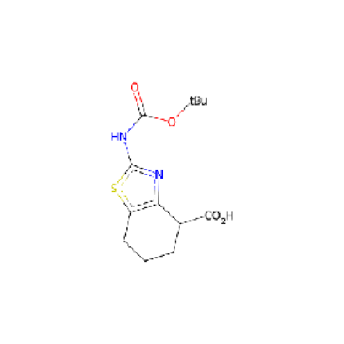 CC(C)(C)OC(=O)Nc1nc2c(s1)CCCC2C(=O)O